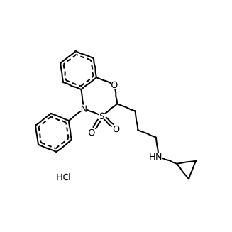 Cl.O=S1(=O)C(CCCNC2CC2)Oc2ccccc2N1c1ccccc1